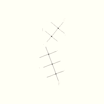 FC(Cl)(Cl)C(F)(Cl)OC(Cl)(Cl)C(F)(Cl)C(F)(Cl)Cl